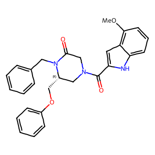 COc1cccc2[nH]c(C(=O)N3CC(=O)N(Cc4ccccc4)[C@@H](COc4ccccc4)C3)cc12